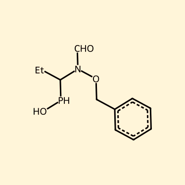 CCC(PO)N(C=O)OCc1ccccc1